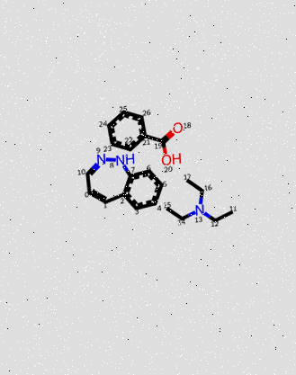 C1=Cc2ccccc2NN=C1.CCN(CC)CC.O=C(O)c1ccccc1